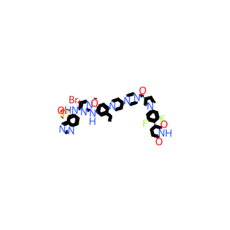 CCc1cc(Nc2ncc(Br)c(Nc3ccc4ncncc4c3P(C)(C)=O)n2)c(OC)cc1N1CCC(N2CCN(C(=O)[C@@H]3CCN(c4cc(F)c([C@H]5CCC(=O)NC5=O)c(F)c4)C3)CC2)CC1